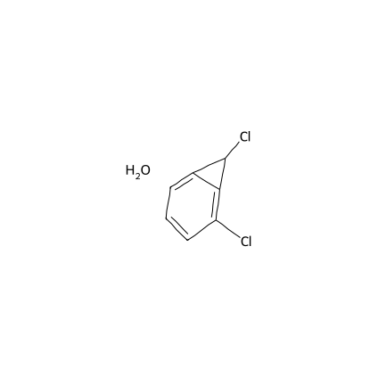 Clc1cccc2c1C2Cl.O